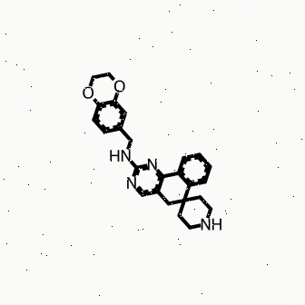 c1ccc2c(c1)-c1nc(NCc3ccc4c(c3)OCCO4)ncc1CC21CCNCC1